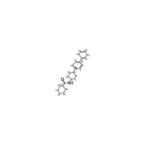 O=C(NC1CCC(N2C=CC(C3=CCC=CC3)=CC2)CC1)C1CCCCC1